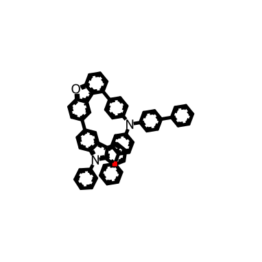 c1ccc(-c2ccc(N(c3ccc(-c4ccccc4)cc3)c3ccc(-c4cccc5oc6ccc(-c7ccc8c(c7)c7ccccc7n8-c7ccccc7)cc6c45)cc3)cc2)cc1